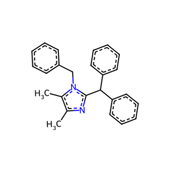 Cc1nc(C(c2ccccc2)c2ccccc2)n(Cc2ccccc2)c1C